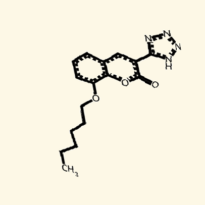 CCCCCCOc1cccc2cc(-c3nnn[nH]3)c(=O)oc12